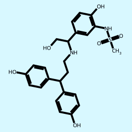 CS(=O)(=O)Nc1cc(C(CO)NCCC(c2ccc(O)cc2)c2ccc(O)cc2)ccc1O